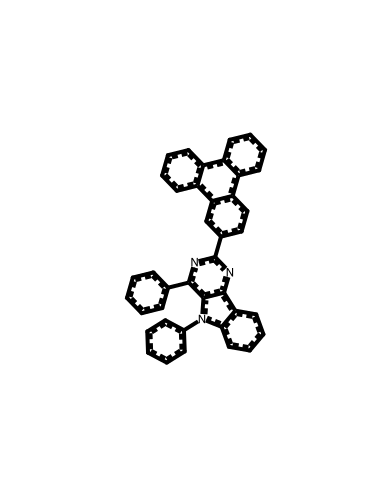 c1ccc(-c2nc(-c3ccc4c5ccccc5c5ccccc5c4c3)nc3c4ccccc4n(-c4ccccc4)c23)cc1